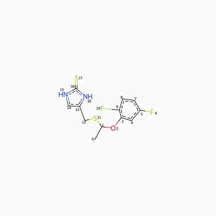 CC(Oc1cc(F)ccc1F)SCc1c[nH]c(=S)[nH]1